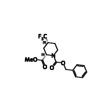 COC(=O)[C@@H]1C[C@H](C(F)(F)F)CCN1C(=O)OCc1ccccc1